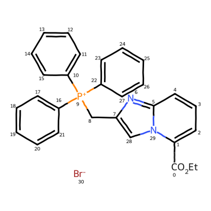 CCOC(=O)c1cccc2nc(C[P+](c3ccccc3)(c3ccccc3)c3ccccc3)cn12.[Br-]